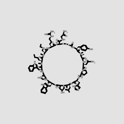 CCCC[C@H]1C(=O)N(C)[C@@H](COCC)C(=O)N[C@@H](CCCNC(=N)N)C(=O)NC(C(=O)NCC(N)=O)CSCC(=O)N[C@@H](Cc2ccc(O)cc2)C(=O)N(C)[C@@H](C)C(=O)N[C@@H](CC(N)=O)C(=O)N2CCC[C@H]2C(=O)N[C@@H](Cc2cnc[nH]2)C(=O)N[C@@H](CC(C)C)C(=O)N2C[C@H](O)C[C@H]2C(=O)N[C@@H](Cc2c[nH]c3ccccc23)C(=O)N[C@@H](CO)C(=O)N[C@@H](Cc2c[nH]c3ccccc23)C(=O)N1C